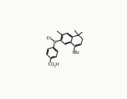 CCN(c1ccc(C(=O)O)cc1)c1cc2c(cc1C)C(C)(C)CC=C2C(C)(C)C